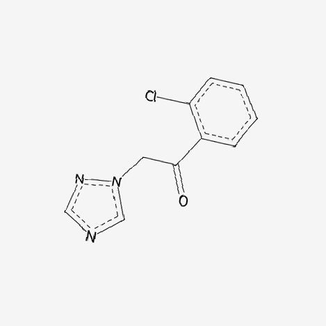 O=C(Cn1cncn1)c1ccccc1Cl